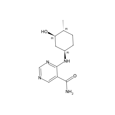 C[C@@H]1CC[C@@H](Nc2ncncc2C(N)=O)C[C@H]1O